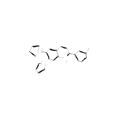 Cc1cccc(-c2ccc3cc(-n4cccc4)c(-n4cccc4)cc3n2)c1